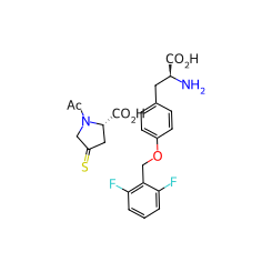 CC(=O)N1CC(=S)C[C@H]1C(=O)O.N[C@@H](Cc1ccc(OCc2c(F)cccc2F)cc1)C(=O)O